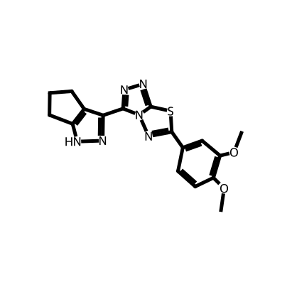 COc1ccc(-c2nn3c(-c4n[nH]c5c4CCC5)nnc3s2)cc1OC